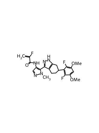 C=C(F)C(=O)Nc1cnn(C)c1-c1n[nH]c2c1CCC(c1c(F)c(OC)cc(OC)c1F)C2